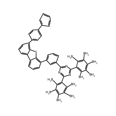 Bc1c(B)c(B)c(-c2nc(-c3cccc(-c4cccc5c4sc4c(-c6ccc(-c7ccccc7)cc6)cccc45)c3)nc(-c3c(B)c(B)c(B)c(B)c3B)n2)c(B)c1B